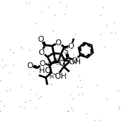 COC1OC2C(=O)OC3[C@H](O)[C@@H](C(C)(C)C)C1([C@H](C)O)C23[C@@H](OC(=S)Oc1ccccc1)C(OC=O)[C@H](O)C(C)C